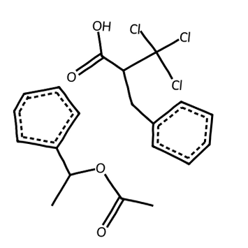 CC(=O)OC(C)c1ccccc1.O=C(O)C(Cc1ccccc1)C(Cl)(Cl)Cl